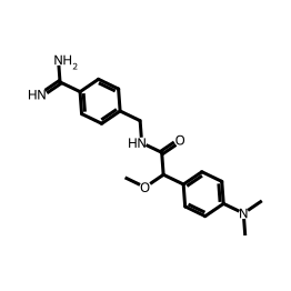 COC(C(=O)NCc1ccc(C(=N)N)cc1)c1ccc(N(C)C)cc1